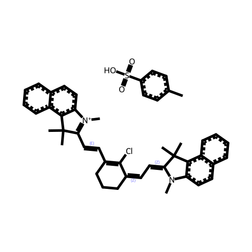 CN1/C(=C\C=C2\CCCC(/C=C/C3=[N+](C)c4ccc5ccccc5c4C3(C)C)=C2Cl)C(C)(C)c2c1ccc1ccccc21.Cc1ccc(S(=O)(=O)O)cc1